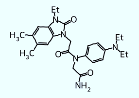 CCN(CC)c1ccc(N(CC(N)=O)C(=O)Cn2c(=O)n(CC)c3cc(C)c(C)cc32)cc1